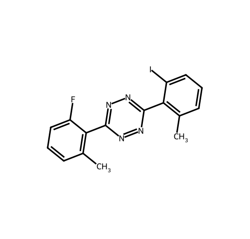 Cc1cccc(F)c1-c1nnc(-c2c(C)cccc2I)nn1